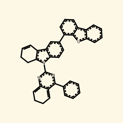 C1=Cc2c(n(-c3nc(-c4ccccc4)c4c(n3)=CCCC=4)c3ccc(-c4cccc5c4oc4ccccc45)cc23)CC1